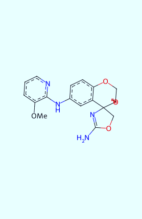 COc1cccnc1Nc1ccc2c(c1)C1(COC(N)=N1)C1(COC1)CO2